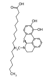 CCCCCCCCCCCCCCCC(=O)O.CN1CCc2cccc3c2[C@H]1Cc1ccc(O)c(O)c1-3